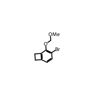 COCOc1c(Br)ccc2c1CC2